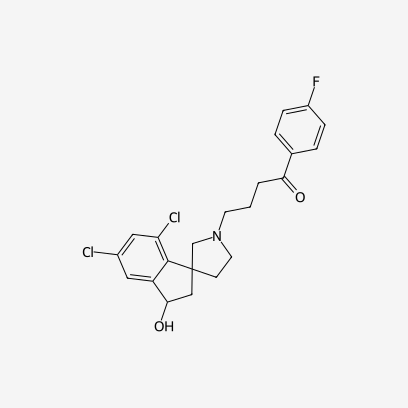 O=C(CCCN1CCC2(CC(O)c3cc(Cl)cc(Cl)c32)C1)c1ccc(F)cc1